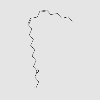 [CH2]CCOCCCCCCCC/C=C\C/C=C\CCCCC